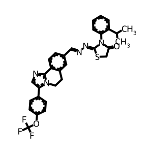 CC(C)c1ccccc1N1C(=O)CSC1=NN=Cc1ccc2c(c1)CCn1c(-c3ccc(OC(F)(F)F)cc3)cnc1-2